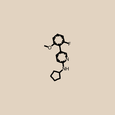 COc1cccc(F)c1-c1ccc(NC2CCCC2)nc1